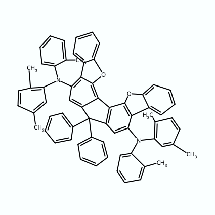 Cc1ccc(C)c(N(c2ccccc2C)c2cc3c(c4oc5ccccc5c24)-c2c(cc(N(c4ccccc4C)c4cc(C)ccc4C)c4c2oc2ccccc24)C3(c2ccccc2)c2ccccc2)c1